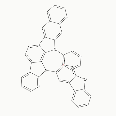 c1ccc(-n2c3cc4ccccc4cc3c3ccc4c5ccccc5n(-c5ccc6oc7ccccc7c6c5)c4c32)cc1